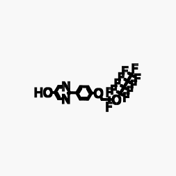 Oc1cnc(-c2ccc(OCC(F)(F)OC(F)(F)C(F)(F)C(F)(F)C(F)(F)F)cc2)nc1